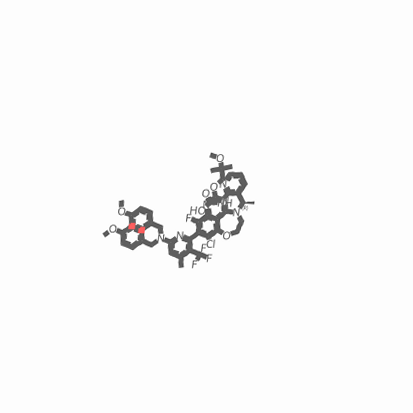 COc1ccc(CN(Cc2ccc(OC)cc2)c2cc(C)c(C(F)(F)F)c(-c3c(Cl)c4c5c(nc(OCC(C)(C)OC)nc5c3F)N([C@H](C)c3cccnc3NC(=O)O)CCO4)n2)cc1